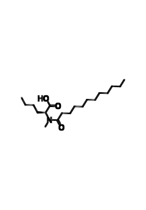 CCCCCCCCCCCC(=O)N(C)[C@@H](CCCC)C(=O)O